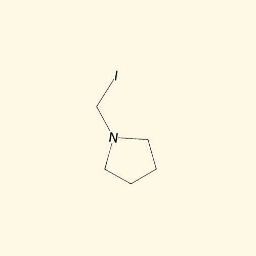 ICN1CCCC1